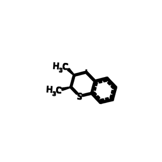 C[C@@H]1Sc2ccccc2[CH][C@@H]1C